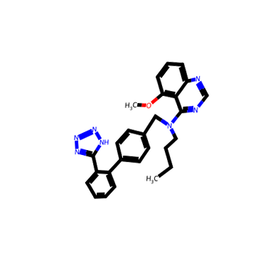 CCCCN(Cc1ccc(-c2ccccc2-c2nnn[nH]2)cc1)c1ncnc2cccc(OC)c12